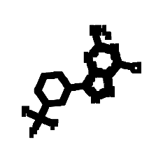 Nc1nc(Cl)c2nnc(C3CCCC(C(F)(F)F)C3)n2n1